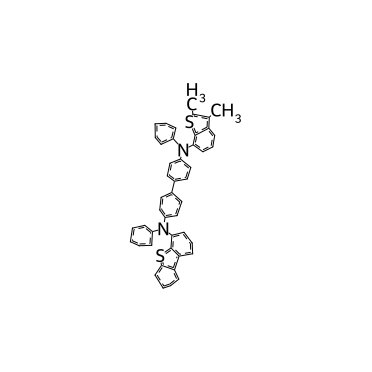 Cc1sc2c(N(c3ccccc3)c3ccc(-c4ccc(N(c5ccccc5)c5cccc6c5sc5ccccc56)cc4)cc3)cccc2c1C